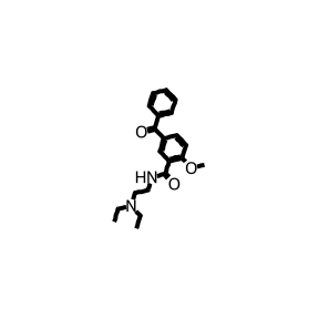 CCN(CC)CCNC(=O)c1cc(C(=O)c2ccccc2)ccc1OC